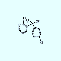 CC(O)(c1ccc(Cl)cc1)c1ccccc1Cl